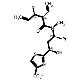 C=C[C@H](C(=O)N(C)[C@H](C[C@@H](O)c1nc(C(=O)O)cs1)C(C)C)[C@@H](C=C)CC